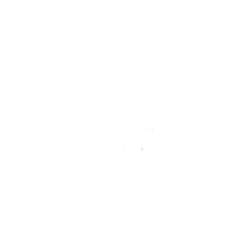 C=C(CCC12OC(C(=O)O)C(O)(C(=O)O)C(C(=O)O)(O1)C(O)C2OC(=O)OC)C(OC(C)=O)C(C)Cc1ccccc1